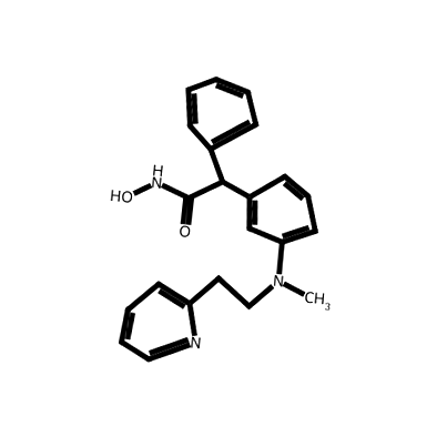 CN(CCc1ccccn1)c1cccc(C(C(=O)NO)c2ccccc2)c1